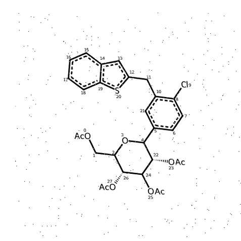 CC(=O)OCC1OC(c2ccc(Cl)c(Cc3cc4ccccc4s3)c2)[C@H](OC(C)=O)C(OC(C)=O)[C@@H]1OC(C)=O